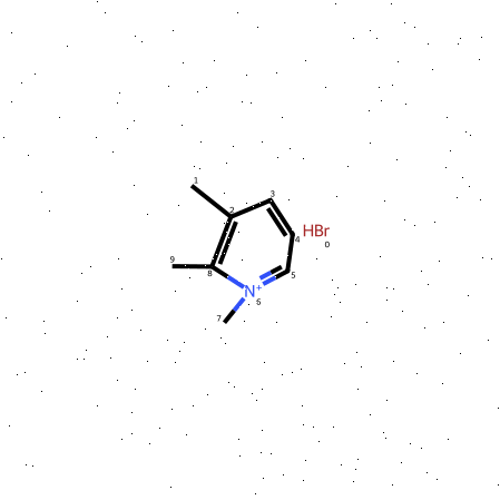 Br.Cc1ccc[n+](C)c1C